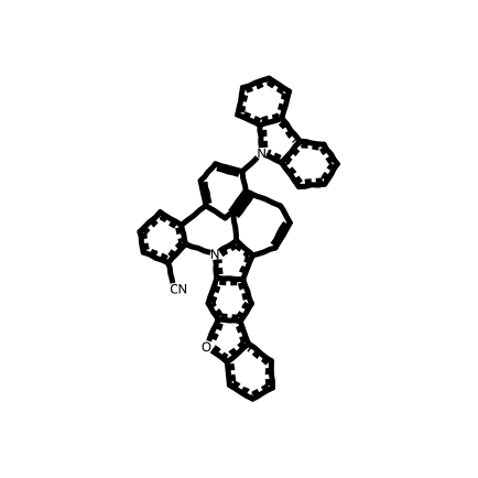 N#Cc1cccc(C2=CC=C(n3c4ccccc4c4ccccc43)CC2)c1-n1c2c(c3cc4c(cc31)oc1ccccc14)C=CCC#C2